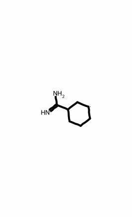 N=C(N)C1C[CH]CCC1